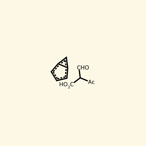 CC(=O)C(C=O)C(=O)O.c1cc2cc-2c1